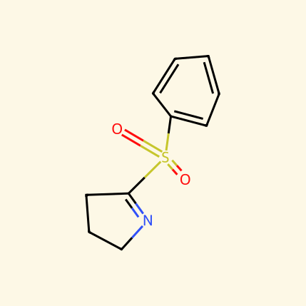 O=S(=O)(C1=NCCC1)c1ccccc1